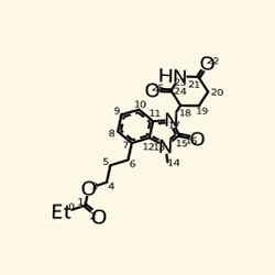 CCC(=O)OCCCc1cccc2c1n(C)c(=O)n2C1CCC(=O)NC1=O